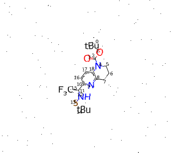 CC(C)(C)OC(=O)N1CCCc2nc([C@@H](NSC(C)(C)C)C(F)(F)F)ccc21